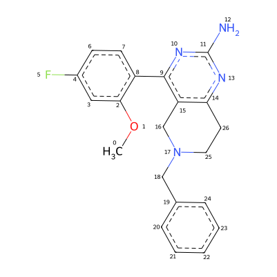 COc1cc(F)ccc1-c1nc(N)nc2c1CN(Cc1ccccc1)CC2